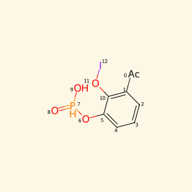 CC(=O)c1cccc(O[PH](=O)O)c1OI